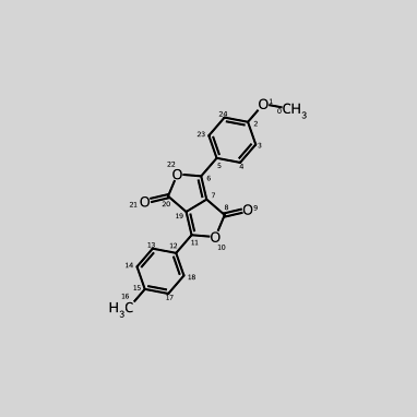 COc1ccc(C2=C3C(=O)OC(c4ccc(C)cc4)=C3C(=O)O2)cc1